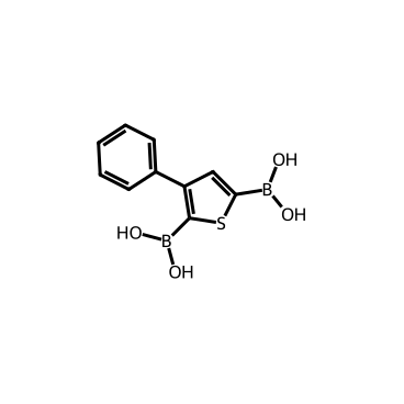 OB(O)c1cc(-c2ccccc2)c(B(O)O)s1